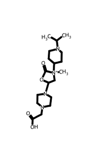 CC(C)N1CCC([N+]2(C)CC(N3CCN(CC(=O)O)CC3)OC2=O)CC1